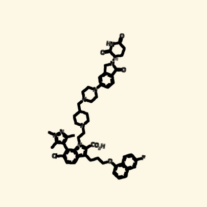 Cc1nn(C)c(C)c1-c1c(Cl)ccc2c(CCCOc3cccc4cc(F)ccc34)c(C(=O)O)n(CCN3CCC(CN4CCN(c5ccc6c(c5)CN([C@H]5CCC(=O)NC5=O)C6=O)CC4)CC3)c12